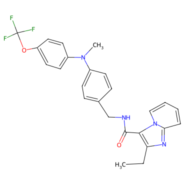 CCc1nc2ccccn2c1C(=O)NCc1ccc(N(C)c2ccc(OC(F)(F)F)cc2)cc1